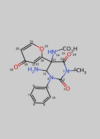 CN1C(=O)N(c2ccccc2)C(N)C(NC(=O)O)(c2cc(=O)cco2)C1=O